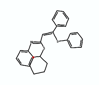 C(=C(/Sc1ccccc1)c1ccccc1)/C(=N/c1ccccc1)SC1CCCCC1